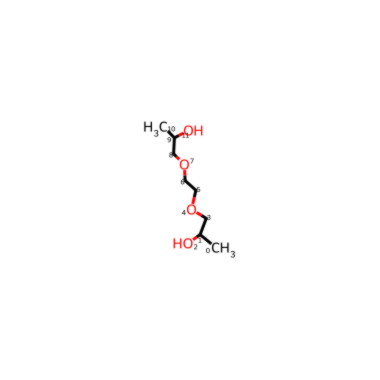 CC(O)COCCOCC(C)O